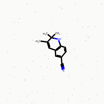 CC1=Cc2cc(C#N)ccc2NC1(C)C